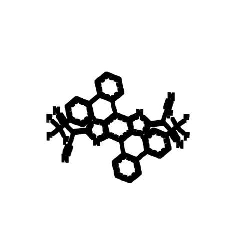 N#CC(C#N)=c1nc2c(-c3ccccc3-c3ccc(C(F)(F)F)cc3)c3oc(=C(C#N)C#N)nc3c(-c3ccccc3-c3ccc(C(F)(F)F)cc3)c2o1